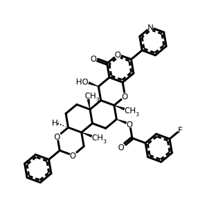 C[C@]12CC[C@@H]3OC(c4ccccc4)OC[C@@]3(C)C1C[C@H](OC(=O)c1cccc(F)c1)[C@@]1(C)Oc3cc(-c4cccnc4)oc(=O)c3[C@H](O)C21